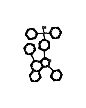 O[PH](c1ccccc1)(c1ccccc1)c1ccc(-c2nn(-c3ccccc3)c3c2c(-c2ccccc2)cc2ccccc23)cc1